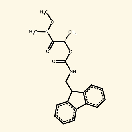 CON(C)C(=O)[C@H](C)OC(=O)NCC1c2ccccc2-c2ccccc21